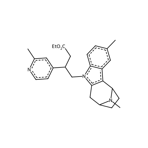 CCOC(=O)CC(Cn1c2c(c3cc(C)ccc31)C1CCC(C2)N1C)c1ccnc(C)c1